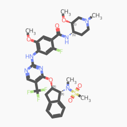 COc1cc(C(=O)N[C@H]2CCN(C)C[C@@H]2OC)c(F)cc1Nc1ncc(C(F)(F)F)c(O[C@@H]2Cc3ccccc3[C@H]2N(C)S(C)(=O)=O)n1